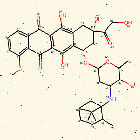 COc1cccc2c1C(=O)c1c(O)c3c(c(O)c1C2=O)C[C@@](O)(C(=O)CO)C[C@@H]3OC1CC(NC23CC(CCC2C)C3(C)C)C(O)C(C)O1